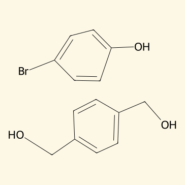 OCc1ccc(CO)cc1.Oc1ccc(Br)cc1